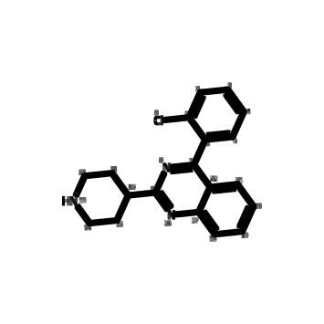 Clc1ccccc1-c1nc(C2CCNCC2)nc2ccccc12